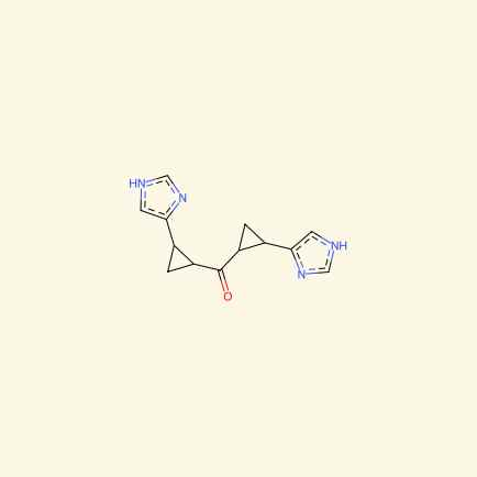 O=C(C1CC1c1c[nH]cn1)C1CC1c1c[nH]cn1